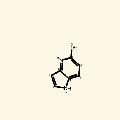 CC(C)c1ccc2[nH]ccc2n1